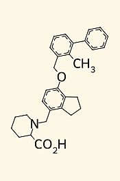 Cc1c(COc2ccc(CN3CCCCC3C(=O)O)c3c2CCC3)cccc1-c1ccccc1